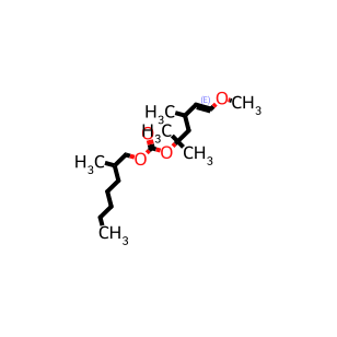 CCCCCC(C)COC(=O)OC(C)(C)CC(C)/C=C/OC